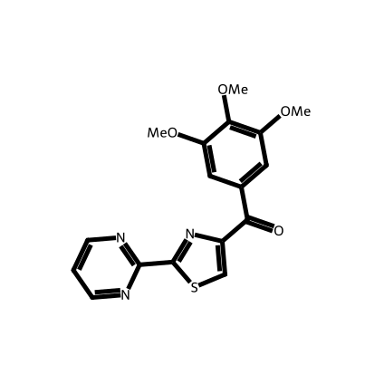 COc1cc(C(=O)c2csc(-c3ncccn3)n2)cc(OC)c1OC